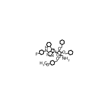 COc1ccc(COC[C@@]2(CN)O[C@@H](n3cc(-c4ccccc4)c4c(Nc5ccc(F)cc5)ncnc43)[C@H](OCc3ccccc3)[C@@H]2OCc2ccccc2)cc1